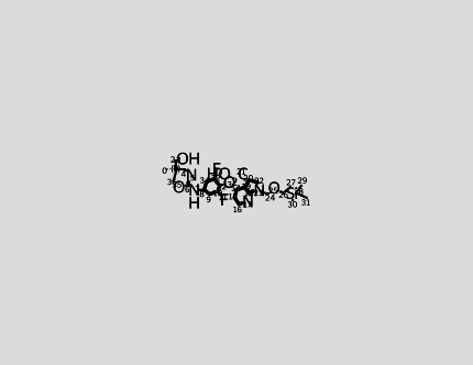 C[C@]1(CO)CN=C(Nc2cc(F)c(Oc3ccnc4c3c(C(=O)O)cn4COCC[Si](C)(C)C)c(F)c2)OC1